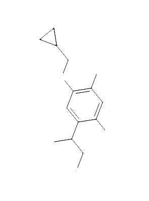 CC(C)CC(C)c1cc(OCC2CC2)c(I)cc1F